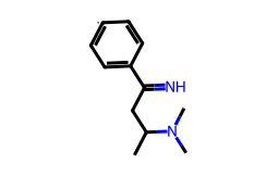 CC(CC(=N)c1cc[c]cc1)N(C)C